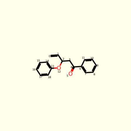 C=CC(CC(=O)c1ccccc1)Oc1ccccc1